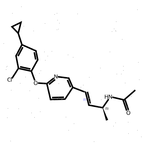 CC(=O)N[C@@H](C)/C=C/c1ccc(Oc2ccc(C3CC3)cc2Cl)nc1